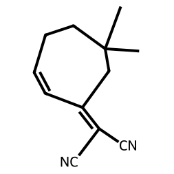 CC1(C)CCC=CC(=C(C#N)C#N)C1